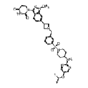 Cn1nc(N2CCC(=O)NC2=O)c2ccc(C3CN(Cc4cccc(S(=O)(=O)N5CCC(Nc6ncc(OC(F)F)cn6)CC5)c4)C3)cc21